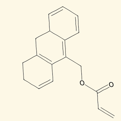 C=CC(=O)OCC1=C2C=CC=CC2CC2=C1C=CCC2